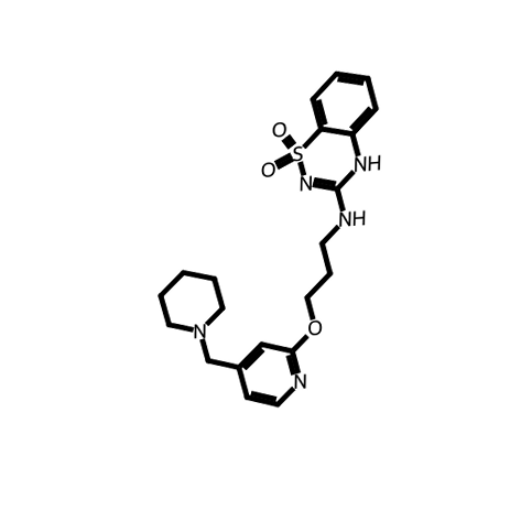 O=S1(=O)N=C(NCCCOc2cc(CN3CCCCC3)ccn2)Nc2ccccc21